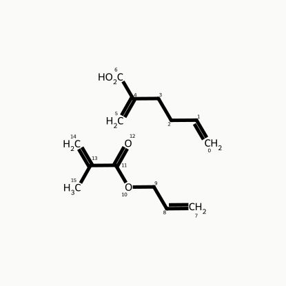 C=CCCC(=C)C(=O)O.C=CCOC(=O)C(=C)C